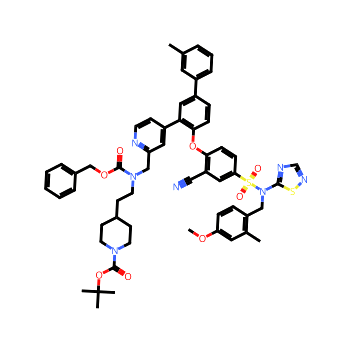 COc1ccc(CN(c2ncns2)S(=O)(=O)c2ccc(Oc3ccc(-c4cccc(C)c4)cc3-c3ccnc(CN(CCC4CCN(C(=O)OC(C)(C)C)CC4)C(=O)OCc4ccccc4)c3)c(C#N)c2)c(C)c1